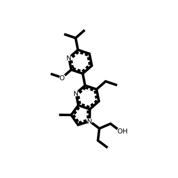 CCc1cc2c(nc1-c1ccc(C(C)C)nc1OC)c(C)cn2C(CC)CO